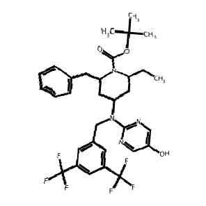 CCC1CC(N(Cc2cc(C(F)(F)F)cc(C(F)(F)F)c2)c2ncc(O)cn2)CC(Cc2ccccc2)N1C(=O)OC(C)(C)C